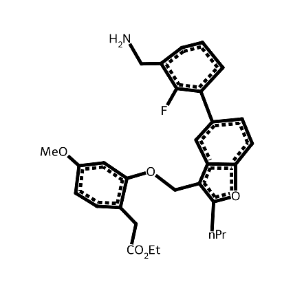 CCCc1oc2ccc(-c3cccc(CN)c3F)cc2c1COc1cc(OC)ccc1CC(=O)OCC